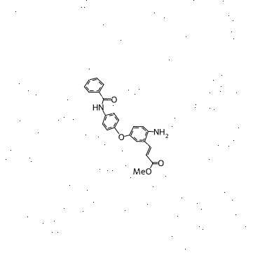 COC(=O)/C=C/c1cc(Oc2ccc(NC(=O)c3ccccc3)cc2)ccc1N